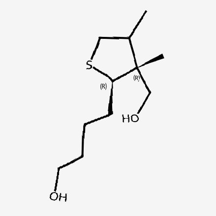 CC1CS[C@H](CCCCO)[C@@]1(C)CO